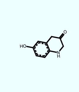 O=C1CNc2ccc(O)cc2C1